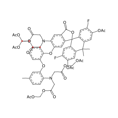 CC(=O)OCOC(=O)CN(CC(=O)OCOC(C)=O)c1ccc(C)cc1Oc1ccccc1Oc1cc2c(cc1N(CC(=O)OCOC(C)=O)CC(=O)OCOC(C)=O)C(=O)OC21c2cc(F)c(OC(C)=O)cc2C(C)(C)c2cc(OC(C)=O)c(F)cc21